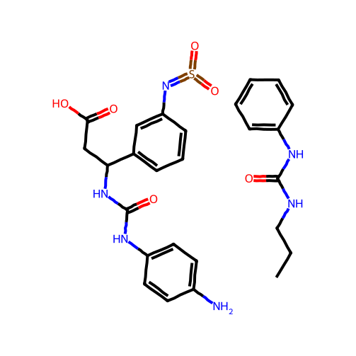 CCCNC(=O)Nc1ccccc1.Nc1ccc(NC(=O)NC(CC(=O)O)c2cccc(N=S(=O)=O)c2)cc1